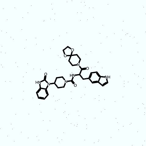 O=C(NC(Cc1ccc2[nH]ccc2c1)C(=O)N1CCC2(CC1)OCCO2)N1CCC(n2c(=O)[nH]c3ccccc32)CC1